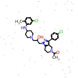 CC(=O)N1CCc2c(c(-c3ccc(Cl)cc3)nn2CC(O)CN2CCC(Nc3cc(Cl)ccc3C)CC2)C1